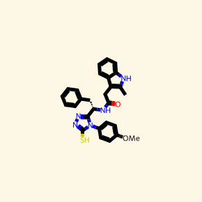 COc1ccc(-n2c(S)nnc2[C@H](Cc2ccccc2)NC(=O)Cc2c(C)[nH]c3ccccc23)cc1